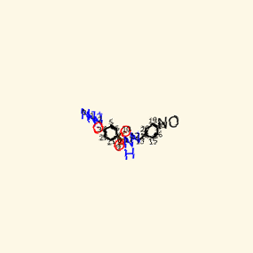 [N-]=[N+]=NOc1ccc(S(=O)(=O)NN=Cc2ccc(N=O)cc2)cc1